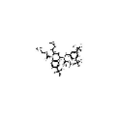 CCOC(=O)N1c2ccc(C(F)(F)F)cc2C(N(Cc2cc(C(F)(F)F)cc(C(F)(F)F)c2)C(=O)OC)CC1CCO